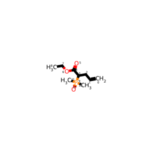 C=CCC(C(=O)OCC)P(C)(C)=O